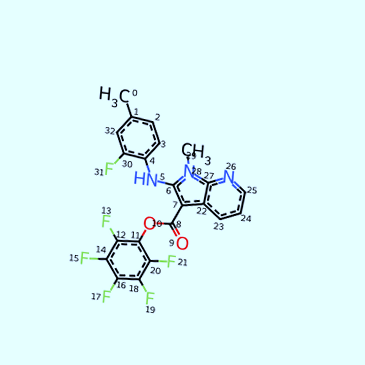 Cc1ccc(Nc2c(C(=O)Oc3c(F)c(F)c(F)c(F)c3F)c3cccnc3n2C)c(F)c1